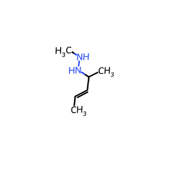 CC=CC(C)NNC